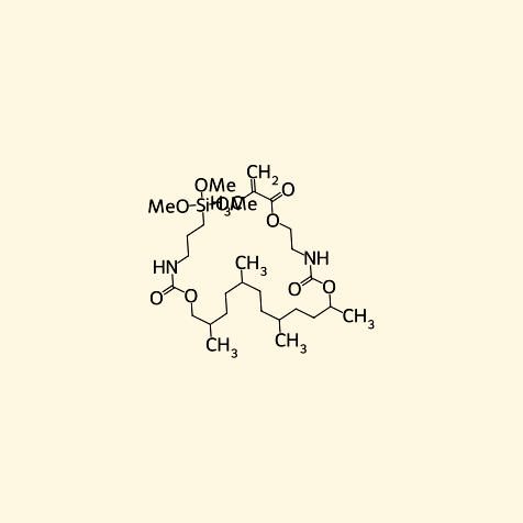 C=C(C)C(=O)OCCNC(=O)OC(C)CCC(C)CCC(C)CCC(C)COC(=O)NCCC[Si](OC)(OC)OC